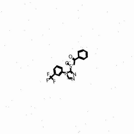 O=C(C[S+]([O-])c1nn[c]n1-c1cccc(C(F)(F)F)c1)c1ccccc1